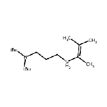 CC(C)=C(C)[SiH2]CCCN(C(C)(C)C)C(C)(C)C